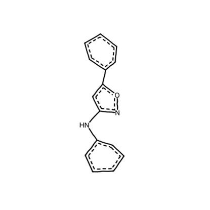 c1ccc(Nc2cc(-c3ccccc3)on2)cc1